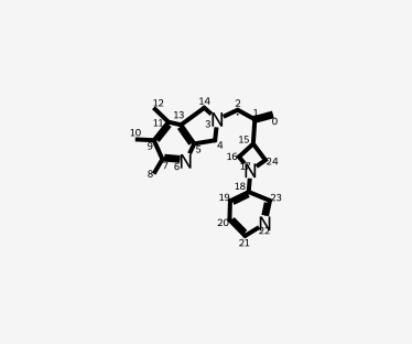 C=C([CH]N1Cc2nc(C)c(C)c(C)c2C1)C1CN(c2cccnc2)C1